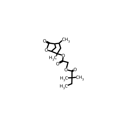 CCC(C)(C)C(=O)OCC(=O)OC1(C)CC(C)C2CC1OC2=O